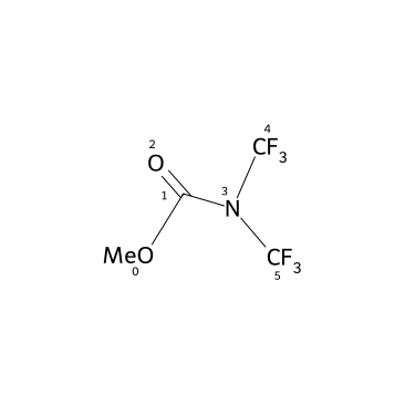 COC(=O)N(C(F)(F)F)C(F)(F)F